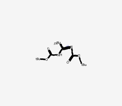 CCCC/C(=N/C(=O)OC(C)(C)C)NC(=O)OC(C)(C)C